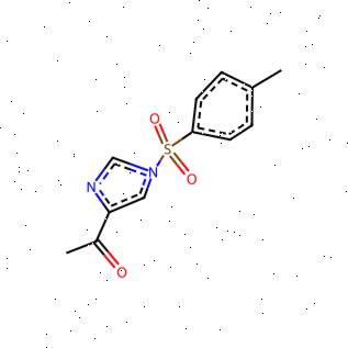 CC(=O)c1cn(S(=O)(=O)c2ccc(C)cc2)cn1